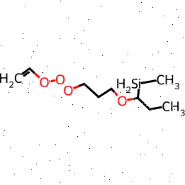 C=COOOCCCOC(CC)[SiH2]C